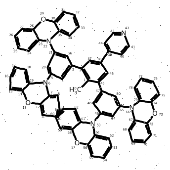 Cc1c(-c2cc(N3c4ccccc4Oc4ccccc43)cc(N3c4ccccc4Oc4ccccc43)c2)cc(-c2ccncc2)cc1-c1cc(N2c3ccccc3Oc3ccccc32)cc(N2c3ccccc3Oc3ccccc32)c1